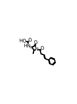 CC1[C@H](NC(=O)O)C(=O)N1C(=O)CC=Cc1ccccc1